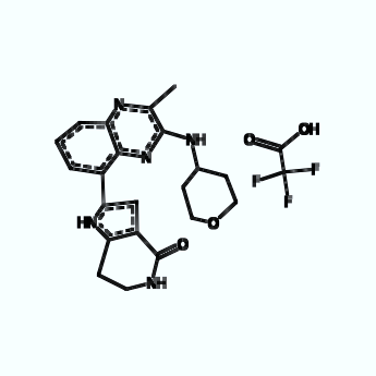 Cc1nc2cccc(-c3cc4c([nH]3)CCNC4=O)c2nc1NC1CCOCC1.O=C(O)C(F)(F)F